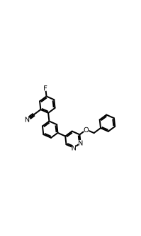 N#Cc1cc(F)ccc1-c1cccc(-c2cnnc(OCc3ccccc3)c2)c1